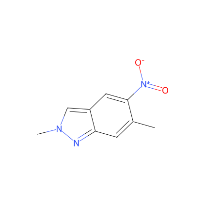 Cc1cc2nn(C)cc2cc1[N+](=O)[O-]